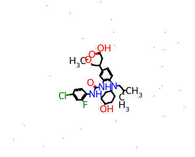 COCC(CC(=O)O)c1ccc(N(CC(C)C)C2CCC(O)CC2)c(NC(=O)Nc2ccc(Cl)cc2F)c1